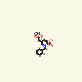 COC(=O)Cc1ccc[n+](Cc2ccccc2)c1.O=C[O-]